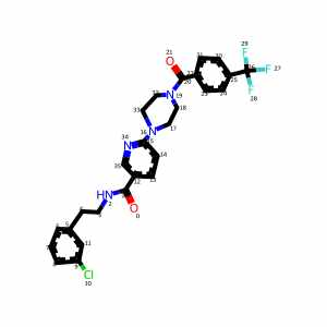 O=C(NCCc1cccc(Cl)c1)c1ccc(N2CCN(C(=O)c3ccc(C(F)(F)F)cc3)CC2)nc1